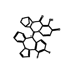 O=C1c2c(O)c(=O)ccn2N([C@@H]2c3ccccc3-n3cccc3-c3c2ccc(F)c3F)C2C3CCC(C3)N12